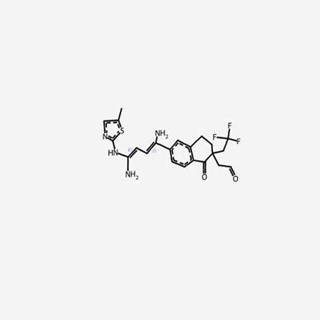 Cc1cnc(N/C(N)=C/C=C(\N)c2ccc3c(c2)CCC(CC=O)(CC(F)(F)F)C3=O)s1